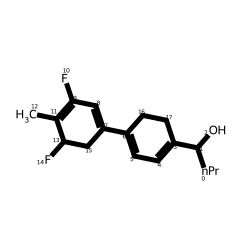 CCCC(O)C1=CC=C(C2=CC(F)=C(C)C(F)C2)CC1